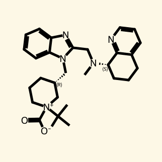 CN(Cc1nc2ccccc2n1C[C@H]1CCC[N+](C(=O)[O-])(C(C)(C)C)C1)[C@H]1CCCc2cccnc21